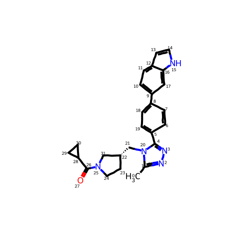 Cc1nnc(-c2ccc(-c3ccc4cc[nH]c4c3)cc2)n1C[C@@H]1CCN(C(=O)C2CC2)C1